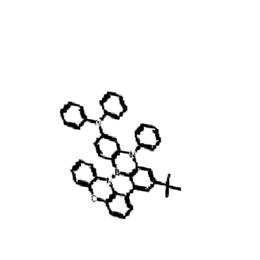 CC(C)(C)c1cc2c3c(c1)N(c1ccccc1)c1cc(N(c4ccccc4)c4ccccc4)ccc1B3N1c3ccccc3Oc3cccc-2c31